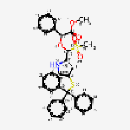 COC(=O)C(O[C@H]([C@@H]1C[C@@H](SC(c2ccccc2)(c2ccccc2)c2ccccc2)CN1)S(C)(=O)=O)c1ccccc1